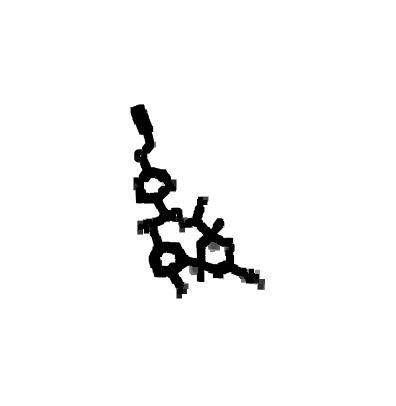 C#CCOc1cnc(C(=O)Nc2ccc(F)c([C@]3(C)C[C@](C)(C(F)F)SC(N)=N3)c2)cn1